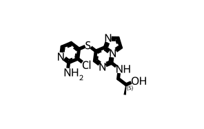 C[C@H](O)CNc1ncc(Sc2ccnc(N)c2Cl)c2nccn12